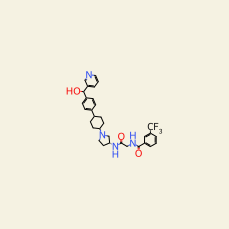 O=C(CNC(=O)c1cccc(C(F)(F)F)c1)N[C@@H]1CCN(C2CCC(c3ccc(C(O)c4cccnc4)cc3)CC2)C1